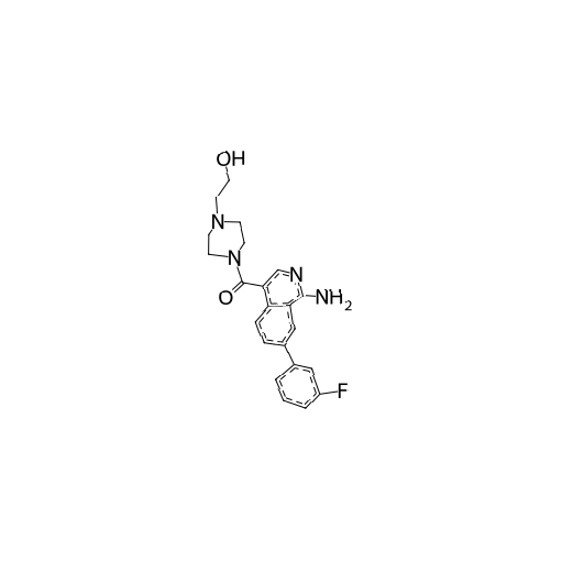 Nc1ncc(C(=O)N2CCN(CCO)CC2)c2ccc(-c3cccc(F)c3)cc12